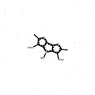 CCCCCCc1c(C)sc2c3sc(C)c(CCCCCC)c3n(CCCC)c12